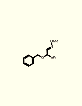 CCCC(C=NOC)OCc1ccccc1